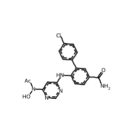 CC(=O)N(O)c1cc(Nc2ccc(C(N)=O)cc2-c2ccc(Cl)cc2)ncn1